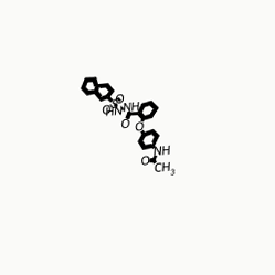 CC(=O)Nc1ccc(Oc2ccccc2C(=O)NNS(=O)(=O)c2ccc3ccccc3c2)cc1